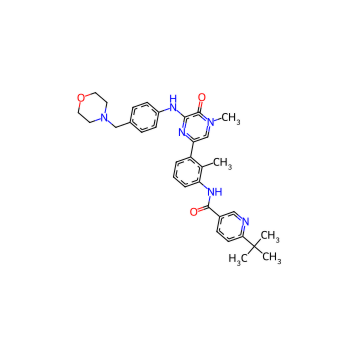 Cc1c(NC(=O)c2ccc(C(C)(C)C)nc2)cccc1-c1cn(C)c(=O)c(Nc2ccc(CN3CCOCC3)cc2)n1